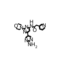 Nc1ncc(-c2cc(NC(=O)Cc3cccnc3)nc(N3CCOCC3)n2)cn1